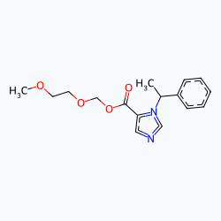 COCCOCOC(=O)c1cncn1C(C)c1ccccc1